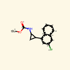 CC(C)(C)OC(=O)NC1CC1c1cc(Br)cc2ccccc12